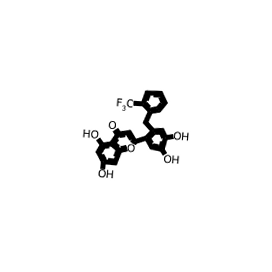 O=c1cc(-c2cc(O)c(O)cc2Cc2ccccc2C(F)(F)F)oc2cc(O)cc(O)c12